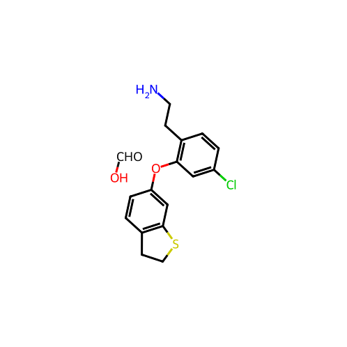 NCCc1ccc(Cl)cc1Oc1ccc2c(c1)SCC2.O=CO